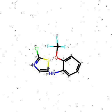 FC(F)(F)Oc1ccccc1Nc1cnc(Cl)s1